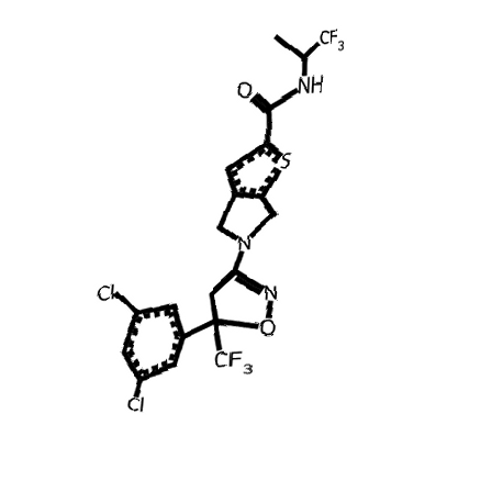 CC(NC(=O)c1cc2c(s1)CN(C1=NOC(c3cc(Cl)cc(Cl)c3)(C(F)(F)F)C1)C2)C(F)(F)F